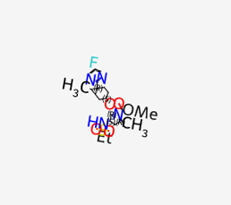 CCS(=O)(=O)N[C@H]1C[C@@H](C)N(C(=O)OC)[C@H]1CO[C@H]1CC[C@@]2(c3ncc(F)cn3)C(C)C2C1